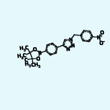 CC1(C)OB(c2ccc(-c3cn(Cc4ccc([N+](=O)[O-])cc4)nn3)cc2)OC1(C)C